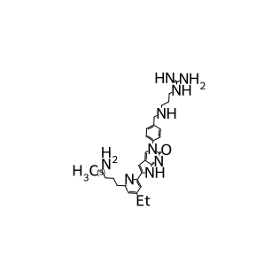 CCc1cc(CCC[C@H](C)N)nc(-c2cc3cn(-c4ccc(CNCCCNC(=N)N)cc4)c(=O)nc3[nH]2)c1